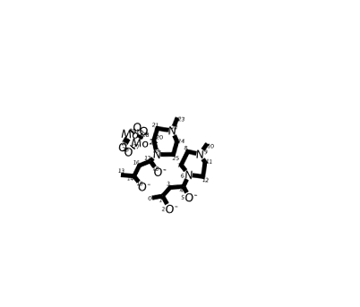 CC([O-])CC([O-])N1CCN(C)CC1.CC([O-])CC([O-])N1CCN(C)CC1.[O]=[Mo+2]=[O].[O]=[Mo+2]=[O]